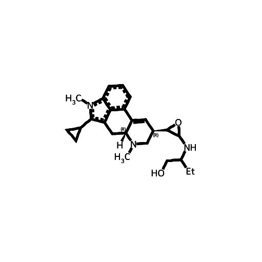 CCC(CO)NC1OC1[C@@H]1C=C2c3cccc4c3c(c(C3CC3)n4C)C[C@H]2N(C)C1